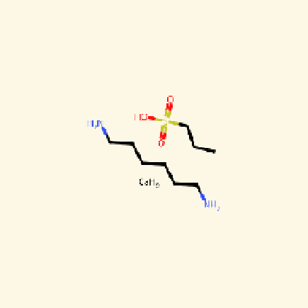 CCCS(=O)(=O)O.NCCCCCCN.[CaH2]